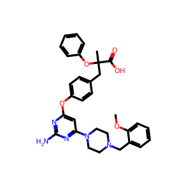 COc1ccccc1CN1CCN(c2cc(Oc3ccc(CC(C)(Oc4ccccc4)C(=O)O)cc3)nc(N)n2)CC1